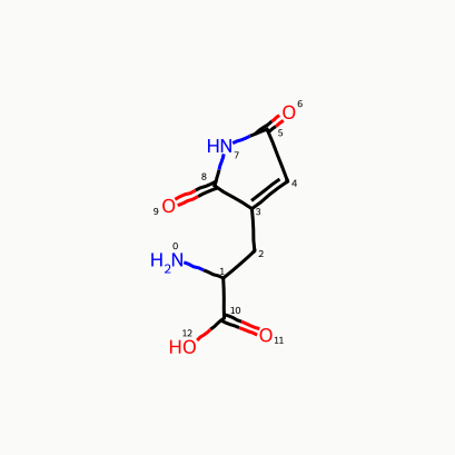 NC(CC1=CC(=O)NC1=O)C(=O)O